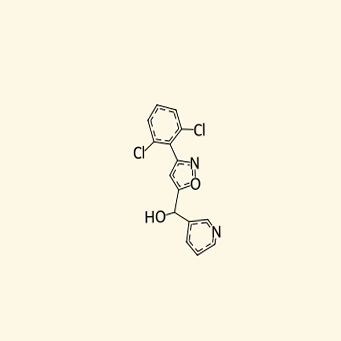 OC(c1cccnc1)c1cc(-c2c(Cl)cccc2Cl)no1